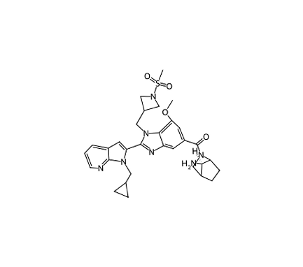 COc1cc(C(=O)N2CC3CCC2[C@@H]3N)cc2nc(-c3cc4cccnc4n3CC3CC3)n(CC3CN(S(C)(=O)=O)C3)c12